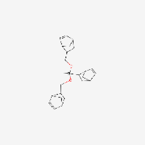 C[Si](OCC1CC2C=CC1C2)(OCC1CC2C=CC1C2)C1CC2C=CC1C2